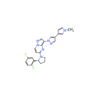 Cn1ccc(-c2cnn(-c3cnn4ccc(N5CCC[C@H]5c5cc(F)ccc5F)nc34)c2)c1